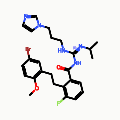 COc1ccc(Br)cc1CCc1c(F)cccc1C(=O)N/C(=N\C(C)C)NCCCn1ccnc1